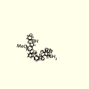 COc1nc(-c2cccc(-c3cccc(NC(=O)c4cn(C)c(=O)n(C)c4=O)c3C)c2Cl)cc2c1[C@H](CC1=C(O)COCC1)CC2